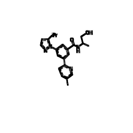 Cc1ccc(-c2cc(C(=O)NC(C)CO)cc(-n3nccc3C(C)C)c2)nc1